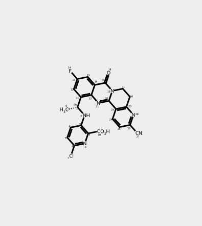 C[C@@H](Nc1ccc(Cl)nc1C(=O)O)c1cc(F)cc2c(=O)n3c(nc12)-c1ccc(C#N)nc1CC3